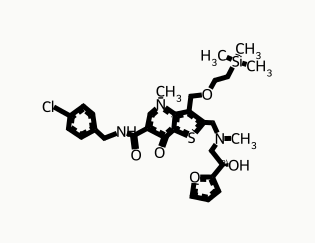 CN(Cc1sc2c(=O)c(C(=O)NCc3ccc(Cl)cc3)cn(C)c2c1COCC[Si](C)(C)C)C[C@@H](O)c1ccco1